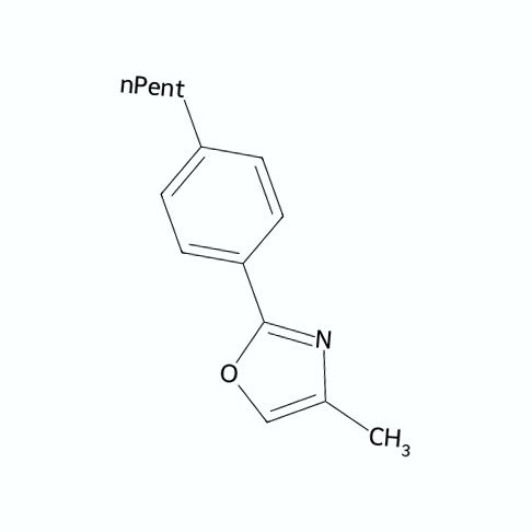 CCCCCc1ccc(-c2nc(C)co2)cc1